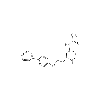 CC(=O)NN1CCNC(CCOc2ccc(-c3ccccc3)cc2)C1